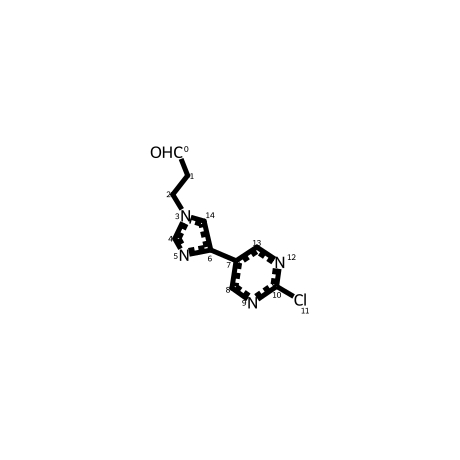 O=CCCn1cnc(-c2cnc(Cl)nc2)c1